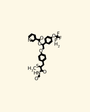 CSC(Cc1ccc(OCC(OC(=O)c2cccnc2)c2ccc(OC(F)(F)P)cc2)cc1)C(=O)NC=O